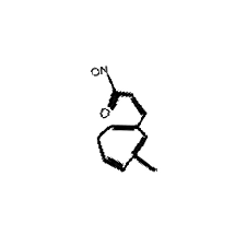 CC1=CC(/C=C\C(=O)N=O)=CCC=C1